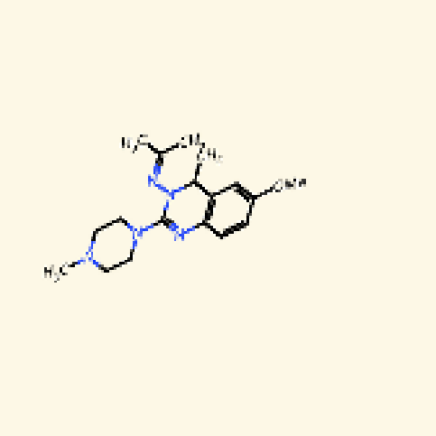 COc1ccc2c(c1)C(C)N(N=C(C)C)C(N1CCN(C)CC1)=N2